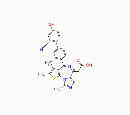 Cc1sc2c(c1C)C(c1ccc(-c3ccc(O)cc3C#N)cc1)=N[C@@H](CC(=O)O)c1nnc(C)n1-2